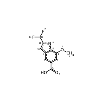 COc1cc(C(=O)O)cc2cn(C(F)F)nc12